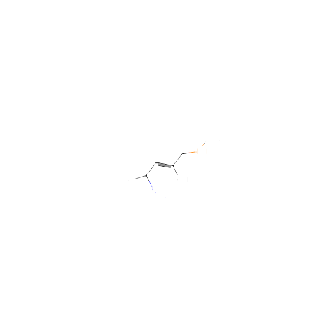 CPC/C(C)=C/C(N)C(=O)O